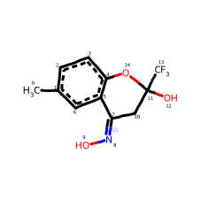 Cc1ccc2c(c1)/C(=N\O)CC(O)(C(F)(F)F)O2